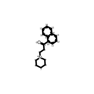 O=C(CCN1CCCCC1)c1cccc2ccccc12